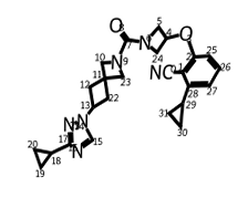 N#Cc1c(OC2CN(C(=O)N3CC4(CC(n5cnc(C6CC6)n5)C4)C3)C2)cccc1C1CC1